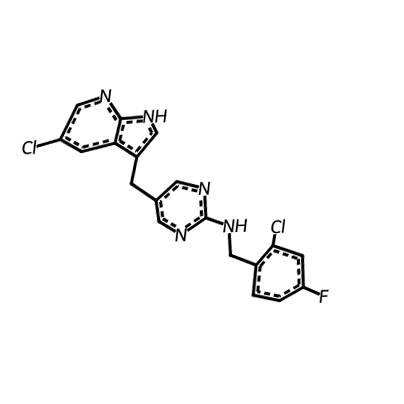 Fc1ccc(CNc2ncc(Cc3c[nH]c4ncc(Cl)cc34)cn2)c(Cl)c1